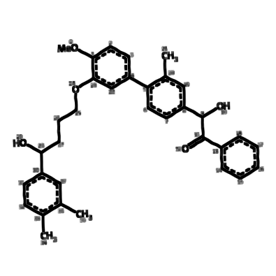 COc1ccc(-c2ccc(C(O)C(=O)c3ccccc3)cc2C)cc1OCCCC(O)c1ccc(C)c(C)c1